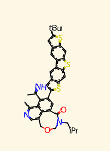 CC(=N)c1c(-c2cc3cc4c(cc3s2)sc2cc3sc(C(C)(C)C)cc3cc24)cc2c3c(cnc(C)c13)COCN(CC(C)C)C2=O